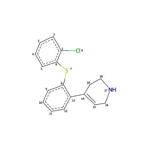 Clc1ccccc1Sc1ccccc1C1=CCNCC1